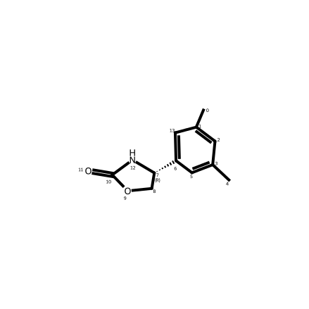 Cc1cc(C)cc([C@@H]2COC(=O)N2)c1